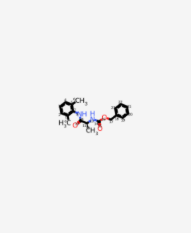 Cc1cccc(C)c1NC(=O)[C@H](C)NC(=O)OCc1ccccc1